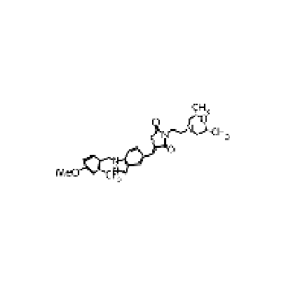 COc1ccc(Cn2ncc3cc(/C=C4\SC(=O)N(CCN5C[C@@H](C)O[C@@H](C)C5)C4=O)ccc32)c(C(F)(F)F)c1